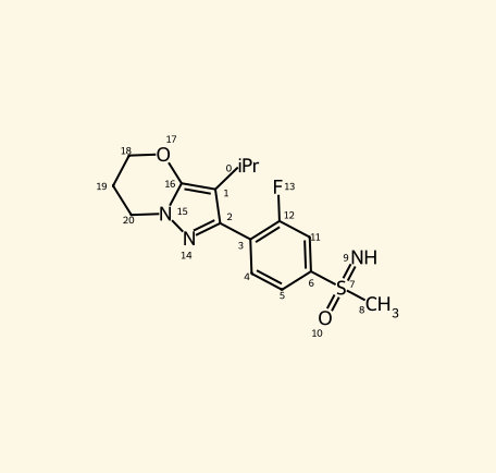 CC(C)c1c(-c2ccc(S(C)(=N)=O)cc2F)nn2c1OCCC2